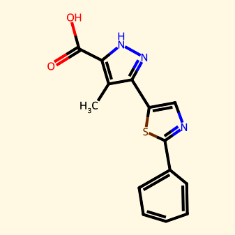 Cc1c(-c2cnc(-c3ccccc3)s2)n[nH]c1C(=O)O